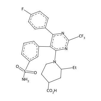 CCC1CC(C(=O)O)CCN1c1nc(C(F)(F)F)nc(-c2ccc(F)cc2)c1-c1cccc(S(N)(=O)=O)c1